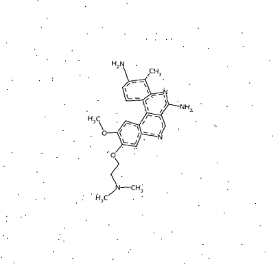 COc1cc2c(cc1OCCN(C)C)ncc1c(N)nc3c(C)c(N)ccc3c12